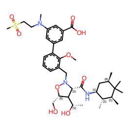 COc1c(CN2O[C@@H](CO)C([C@H](C)O)[C@H]2C(=O)N[C@H]2C[C@@H](C)C(C)(C)[C@@H](C)[C@@H]2C)cccc1-c1cc(C(=O)O)cc(N(C)CCS(C)(=O)=O)c1